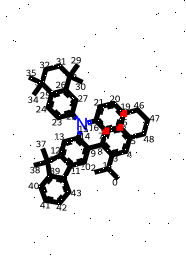 CC(C)c1cc2c(cc1-c1cc3c(cc1N(c1ccccc1)c1ccc4c(c1)C(C)(C)CCC4(C)C)C(C)(C)c1ccccc1-3)CCCC2